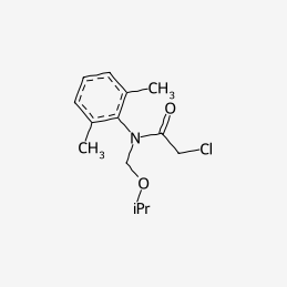 Cc1cccc(C)c1N(COC(C)C)C(=O)CCl